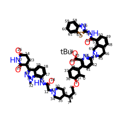 Cc1c(OCC[C@@H](C)C2CCN(CC(=O)Nc3cccc4c(C5CCC(=O)NC5=O)nn(C)c34)CC2)cccc1-c1ccc(N2CCc3cccc(C(=O)Nc4nc5ccccc5s4)c3C2)nc1C(=O)OC(C)(C)C